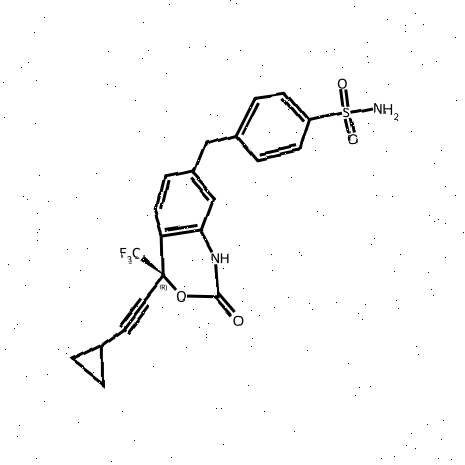 NS(=O)(=O)c1ccc(Cc2ccc3c(c2)NC(=O)O[C@@]3(C#CC2CC2)C(F)(F)F)cc1